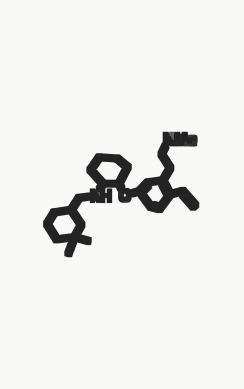 C=Cc1ccc(OC2CCCCC2NCC2CCCC(C)(C)C2)cc1CCNC